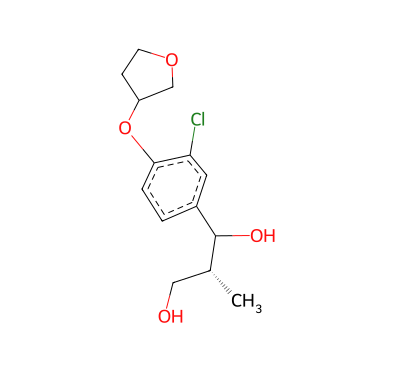 C[C@H](CO)C(O)c1ccc(OC2CCOC2)c(Cl)c1